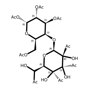 CC(=O)OC[C@H]1O[C@H](OC(C)=O)[C@H](OC(C)=O)[C@@H](OC(C)=O)[C@H]1O[C@@H]1O[C@H](C(O)C(C)=O)[C@@](O)(C(C)=O)[C@@](O)(C(C)=O)[C@]1(O)C(C)=O